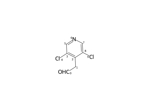 O=CCc1c(Cl)cncc1Cl